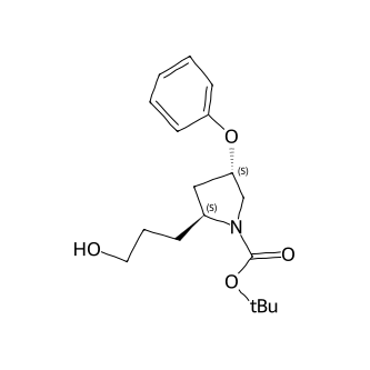 CC(C)(C)OC(=O)N1C[C@@H](Oc2ccccc2)C[C@@H]1CCCO